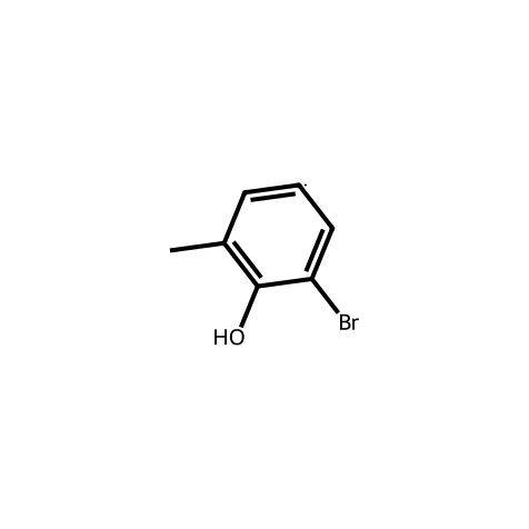 Cc1c[c]cc(Br)c1O